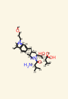 COCCCn1cc(C)c2ccc(C[C@@H](C[C@H](NC(=O)[C@@H](N)C(C)C)[C@@H](O)C[C@H](C(=O)O)C(C)C)C(C)C)cc21